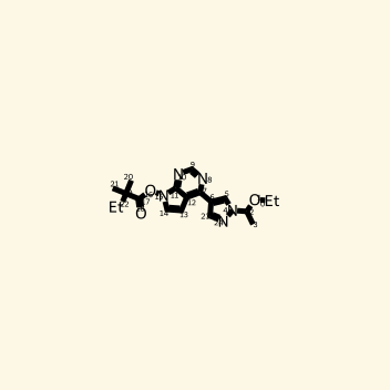 CCOC(C)n1cc(-c2ncnc3c2ccn3OC(=O)C(C)(C)CC)cn1